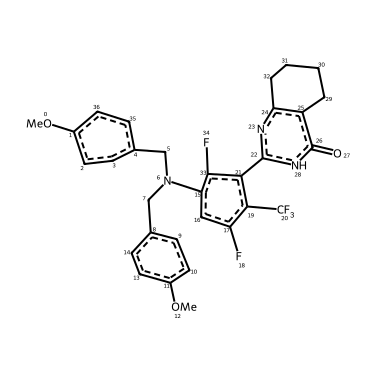 COc1ccc(CN(Cc2ccc(OC)cc2)c2cc(F)c(C(F)(F)F)c(-c3nc4c(c(=O)[nH]3)CCCC4)c2F)cc1